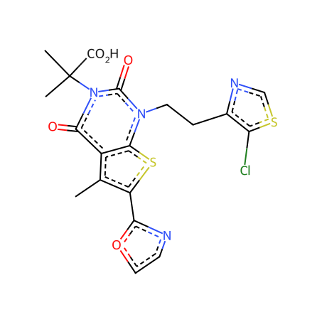 Cc1c(-c2ncco2)sc2c1c(=O)n(C(C)(C)C(=O)O)c(=O)n2CCc1ncsc1Cl